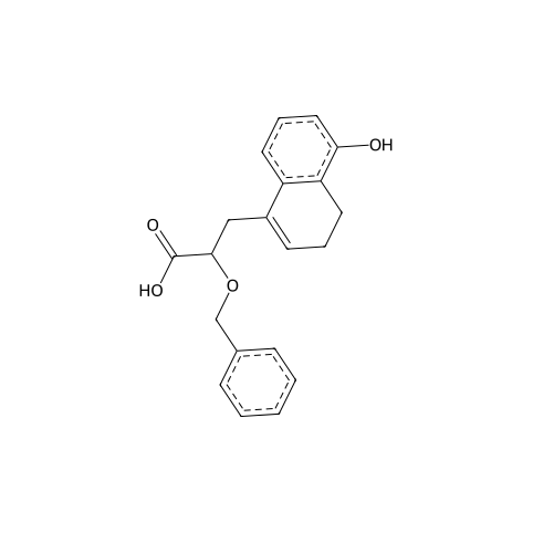 O=C(O)C(CC1=CCCc2c(O)cccc21)OCc1ccccc1